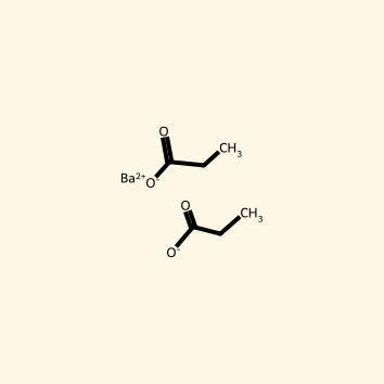 CCC(=O)[O-].CCC(=O)[O-].[Ba+2]